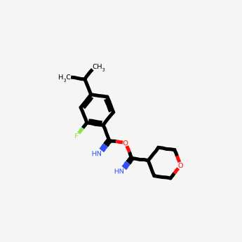 CC(C)c1ccc(C(=N)OC(=N)C2CCOCC2)c(F)c1